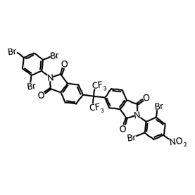 O=C1c2ccc(C(c3ccc4c(c3)C(=O)N(c3c(Br)cc([N+](=O)[O-])cc3Br)C4=O)(C(F)(F)F)C(F)(F)F)cc2C(=O)N1c1c(Br)cc(Br)cc1Br